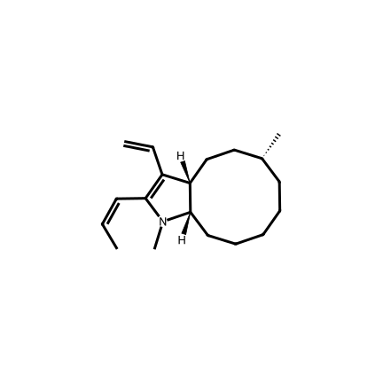 C=CC1=C(/C=C\C)N(C)[C@H]2CCCCC[C@@H](C)CC[C@@H]12